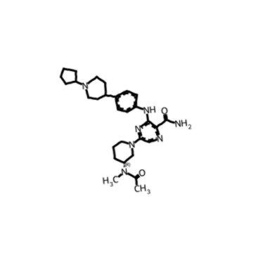 CC(=O)N(C)[C@@H]1CCCN(c2cnc(C(N)=O)c(Nc3ccc(C4CCN(C5CCCC5)CC4)cc3)n2)C1